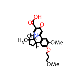 COCCCOc1cc2c(cc1OC)-c1cc(=O)c(C3OC3O)cn1[C@H]1[C@H]2CCC1(C)C